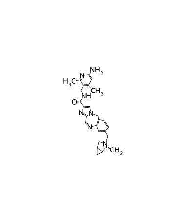 C=C1C2CC2CN1Cc1ccc2c(c1)N=Cc1nc(C(=O)NCc3c(C)cc(N)nc3C)cn1C2